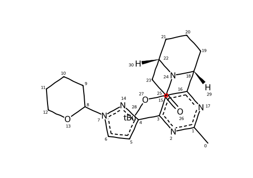 Cc1nc(-c2ccn(C3CCCCO3)n2)c2c(n1)[C@H]1CCC[C@@H](C2)N1C(=O)OC(C)(C)C